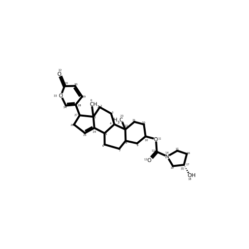 CC12CCC3C(CCC4CC(OC(=O)N5CC[C@H](O)C5)CCC43C)C1=CCC2c1ccc(=O)oc1